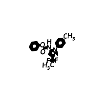 Cc1ccc(-n2nc(C(C)(F)F)cc2NC(=O)Oc2ccccc2)cc1